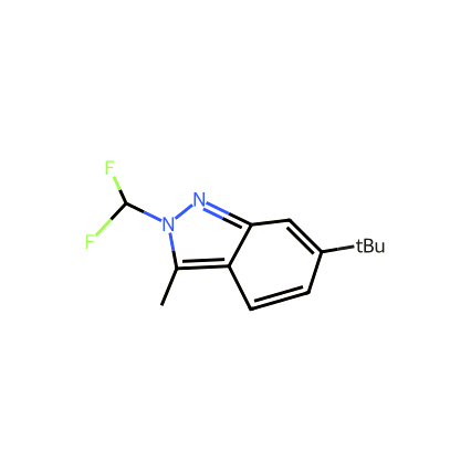 Cc1c2ccc(C(C)(C)C)cc2nn1C(F)F